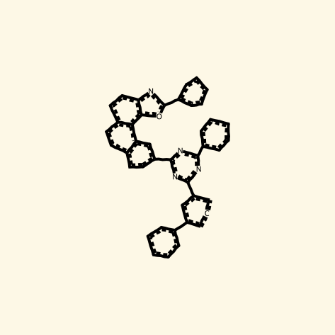 c1ccc(-c2cccc(-c3nc(-c4ccccc4)nc(-c4ccc5ccc6ccc7nc(-c8ccccc8)oc7c6c5c4)n3)c2)cc1